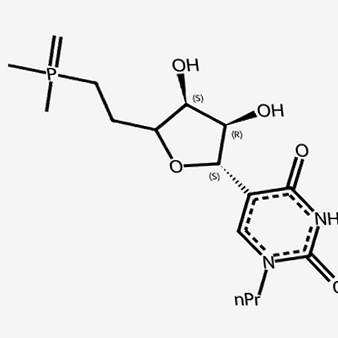 C=P(C)(C)CCC1O[C@@H](c2cn(CCC)c(=O)[nH]c2=O)[C@H](O)[C@@H]1O